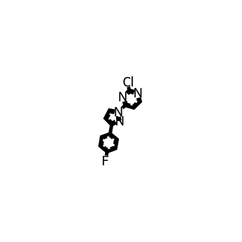 Fc1ccc(-c2ccn(-c3ccnc(Cl)n3)n2)cc1